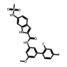 COc1cc(NC(=O)c2cc3ccc(NS(C)(=O)=O)cc3[nH]2)cc(-c2ccc(F)cc2F)c1